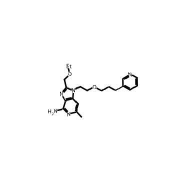 CCOCc1nc2c(N)nc(C)cc2n1CCOCCCc1cccnc1